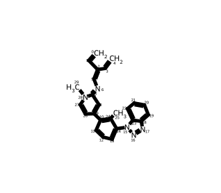 C=CC(C=C)=C/N=c1/cc(-c2cccc(-n3nnc4ccccc43)c2C)ccn1C